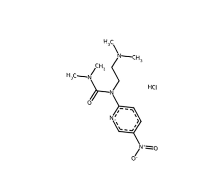 CN(C)CCN(C(=O)N(C)C)c1ccc([N+](=O)[O-])cn1.Cl